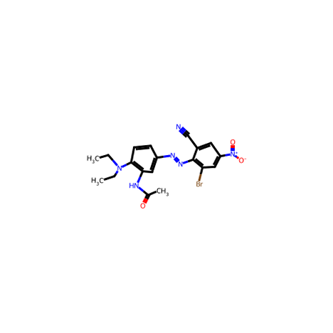 CCN(CC)c1ccc(N=Nc2c(Br)cc([N+](=O)[O-])cc2C#N)cc1NC(C)=O